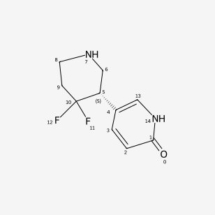 O=c1ccc([C@H]2CNCCC2(F)F)c[nH]1